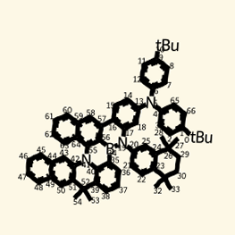 CC(C)(C)c1ccc(N(c2ccc(C(C)(C)C)cc2)c2ccc3c(c2)N(c2ccc4c(c2)C(C)(C)CCC4(C)C)B2c4cccc5c4N(c4cc6ccccc6cc4C5(C)C)c4c2c-3cc2ccccc42)cc1